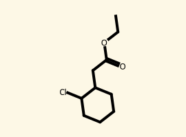 CCOC(=O)CC1CCCCC1Cl